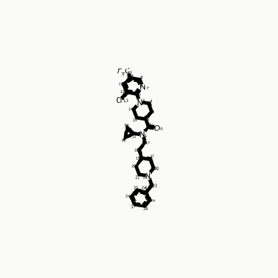 O=C(C1CCN(c2ncc(C(F)(F)F)cc2Cl)CC1)N(CCC1CCN(Cc2ccccc2)CC1)C1CC1